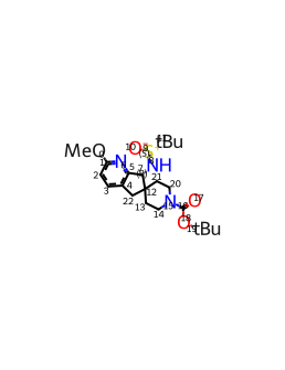 COc1ccc2c(n1)[C@H](N[S@+]([O-])C(C)(C)C)C1(CCN(C(=O)OC(C)(C)C)CC1)C2